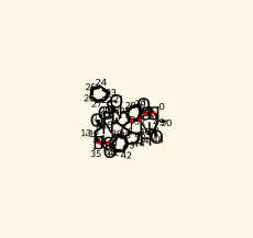 CN1C(=O)[C@@]23C[C@]4([C@]56C[C@@]78SS[C@@](C)(C(=O)N7[C@H]5N(S(=O)(=O)c5ccccc5)c5ccccc56)N(C)C8=O)c5ccccc5C[C@@H]4N2C(=O)[C@]1(C)SS3